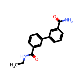 CCNC(=O)c1cccc(-c2cccc(C(N)=O)c2)c1